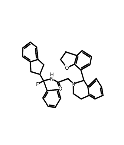 O=C(CN1CCc2ccccc2C1c1cccc2c1OCC2)NC(F)(c1ccccc1)C1Cc2ccccc2C1